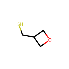 SCC1COC1